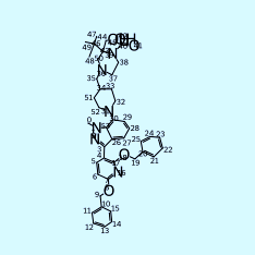 Cn1nc(-c2ccc(OCc3ccccc3)nc2OCc2ccccc2)c2cccc(N3CCC(CN4CCN(C(=O)O)C(CO)(C(C)(C)C)C4)CC3)c21